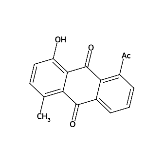 CC(=O)c1cccc2c1C(=O)c1c(O)ccc(C)c1C2=O